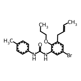 CC=CCc1cc(Br)cc(NC(=O)Nc2ccc(C)cc2)c1OCCC